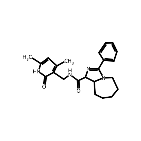 Cc1cc(C)c(CNC(=O)C2N=C(c3ccccc3)N3CCCCCC23)c(=O)[nH]1